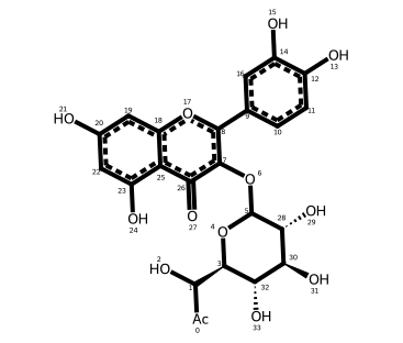 CC(=O)C(O)[C@H]1OC(Oc2c(-c3ccc(O)c(O)c3)oc3cc(O)cc(O)c3c2=O)[C@H](O)[C@@H](O)[C@@H]1O